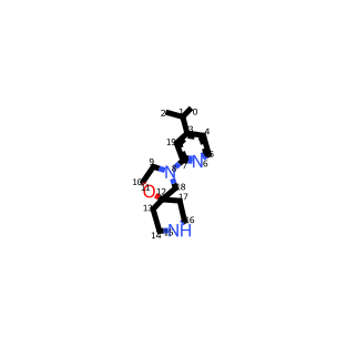 CC(C)c1ccnc(N2CCOC3(CCNCC3)C2)c1